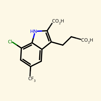 O=C(O)CCc1c(C(=O)O)[nH]c2c(Cl)cc(C(F)(F)F)cc12